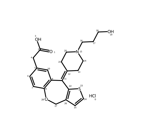 Cl.O=C(O)Cc1ccc2c(c1)C(=C1CCN(CCCO)CC1)c1sccc1CO2